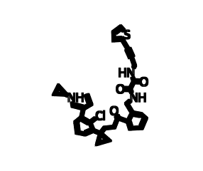 C=C/C(=C\NC1CC1)c1cccc(C2(CCC(=O)c3ccccc3CNC(=O)C(=O)NCC#Cc3cccs3)CC2)c1Cl